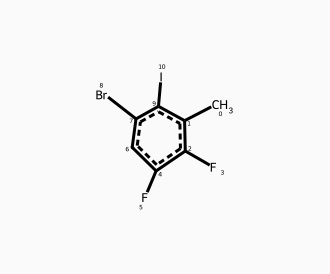 Cc1c(F)c(F)cc(Br)c1I